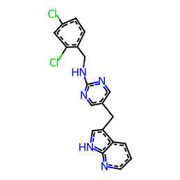 Clc1ccc(CNc2ncc(Cc3c[nH]c4ncccc34)cn2)c(Cl)c1